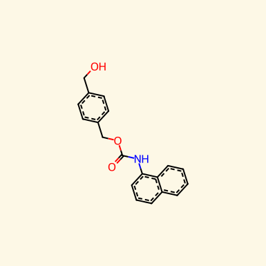 O=C(Nc1cccc2ccccc12)OCc1ccc(CO)cc1